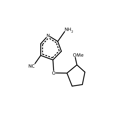 COC1CCCC1Oc1cc(N)ncc1C#N